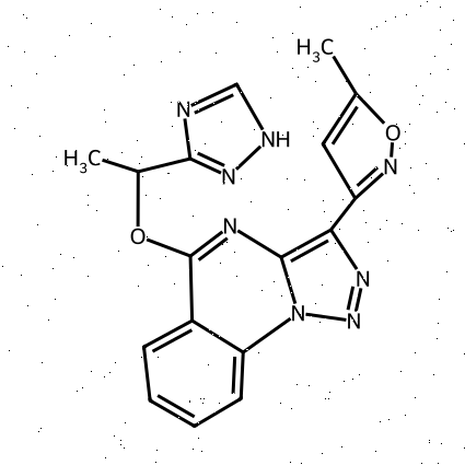 Cc1cc(-c2nnn3c2nc(OC(C)c2nc[nH]n2)c2ccccc23)no1